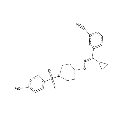 N#Cc1cccc(/C(=N/OC2CCN(S(=O)(=O)c3ccc(O)cc3)CC2)C2CC2)c1